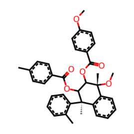 COc1ccc(C(=O)OC2C(OC(=O)c3ccc(C)cc3)[C@](C)(c3ccccc3C)c3ccccc3[C@@]2(C)OC)cc1